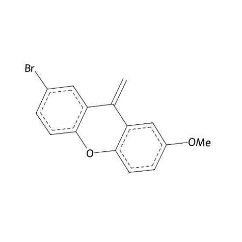 C=C1c2cc(Br)ccc2Oc2ccc(OC)cc21